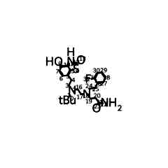 CC(C)(C)CN(CCc1ccc(O)c2[nH]c(=O)sc12)CCN(CCC(N)=O)CCc1ccccc1F